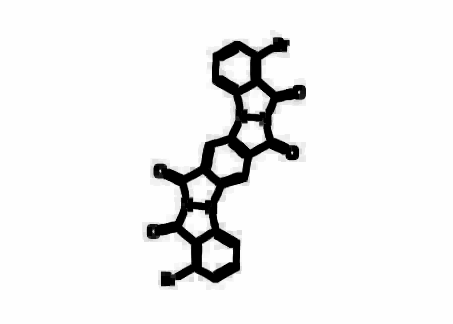 O=c1c2cc3c(cc2n2c4cccc(Br)c4c(=O)n12)c(=O)n1c(=O)c2c(Br)cccc2n31